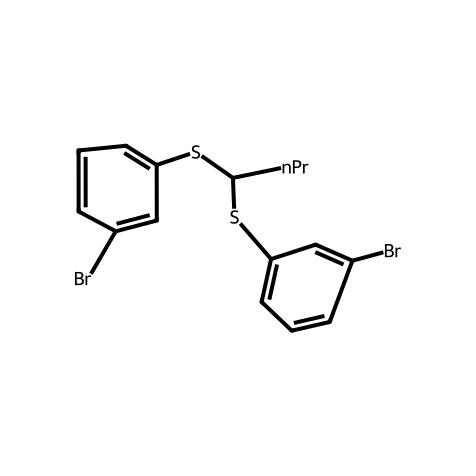 CCCC(Sc1cccc(Br)c1)Sc1cccc(Br)c1